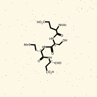 CSCC[C@H](NC(=O)[C@H](CO)NC(=O)C(CCC(=O)O)NC(C)=O)C(=O)N[C@H](C=O)CC(=O)O